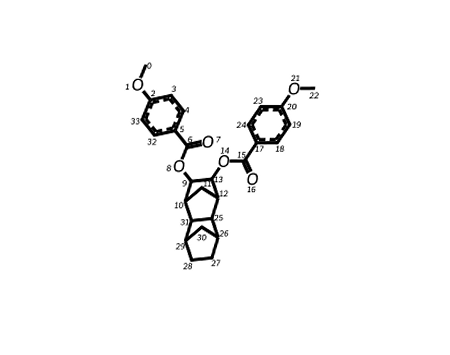 COc1ccc(C(=O)OC2C3CC(C2OC(=O)c2ccc(OC)cc2)C2C4CCC(C4)C32)cc1